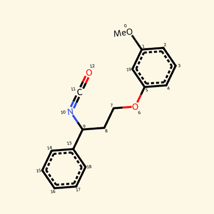 COc1cccc(OCCC(N=C=O)c2ccccc2)c1